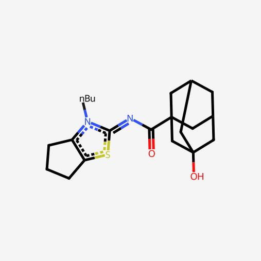 CCCCn1c2c(sc1=NC(=O)C13CC4CC(CC(O)(C4)C1)C3)CCC2